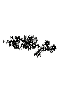 C=C=C(C)CC(CCC1OC(CCC(=O)/C=C/C(O[Si](C)(C)C(C)(C)C)C2O[C@H]3CC[C@H](CC(=O)C[C@H]4C(CC(OC)OC)O[C@H](CC(COC(=O)c5ccccc5)OC(=O)c5ccccc5)C4OC)OC3[C@H](O)C2O[Si](C)(C)C(C)(C)C)CC1=C)O[Si](CC)(CC)CC